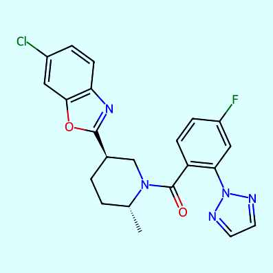 C[C@@H]1CC[C@@H](c2nc3ccc(Cl)cc3o2)CN1C(=O)c1ccc(F)cc1-n1nccn1